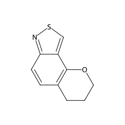 c1cc2nscc2c2c1CCCO2